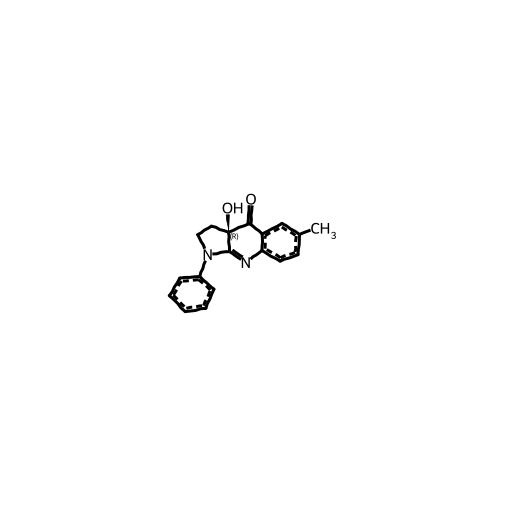 Cc1ccc2c(c1)C(=O)[C@@]1(O)CCN(c3ccccc3)C1=N2